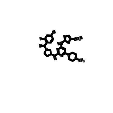 CN1CCN(c2cc(Nc3ncc(C(=O)O)s3)nc(N[C@H]3CCN(C(=O)c4ccc(Cl)cc4F)C3)n2)CC1